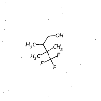 CC(CO)C(C)(C)C(F)(F)F